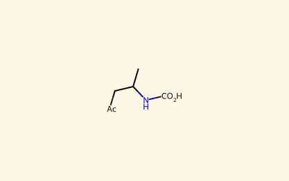 CC(=O)CC(C)NC(=O)O